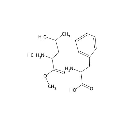 COC(=O)C(N)CC(C)C.Cl.NC(Cc1ccccc1)C(=O)O